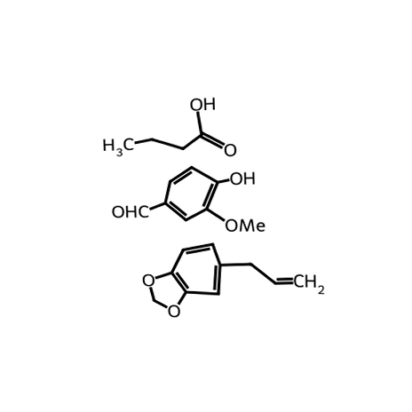 C=CCc1ccc2c(c1)OCO2.CCCC(=O)O.COc1cc(C=O)ccc1O